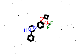 FC(F)Oc1ccc(N2CCNC(c3ccccc3)C2)cc1OC1CCC1